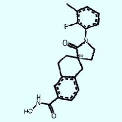 Cc1cccc(N2CC[C@@]3(CCc4cc(C(=O)NO)ccc4C3)C2=O)c1F